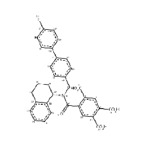 O=C(O)c1cc(C(=O)O)c(C(=O)N(Cc2ccc(-c3ccc(F)cc3)cc2)[C@H]2CCCc3ccccc32)cc1C(=O)O